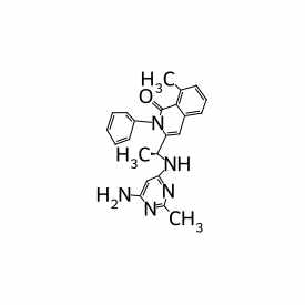 Cc1nc(N)cc(N[C@@H](C)c2cc3cccc(C)c3c(=O)n2-c2ccccc2)n1